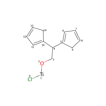 [Cl][Ti][O]CC(C1=CC=CC1)C1=CC=CC1